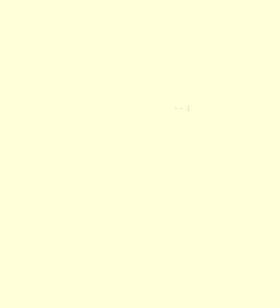 CC#Cc1cc(CO)c(C(C)(C)C)cc1C